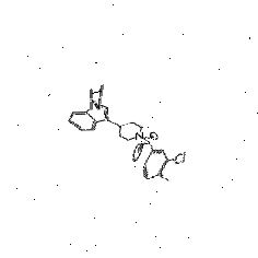 Cc1ccc(S(=O)(=O)N2CCC(c3c[nH]c4ccccc34)CC2)cc1Cl